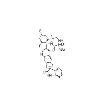 CCCCC1(CC)NCC(C)(c2cc(F)cc(F)c2)N(Cc2cnc3cc4c(cc3c2)C[C@@]2(C4)C(=O)Nc3ncccc32)C1=O